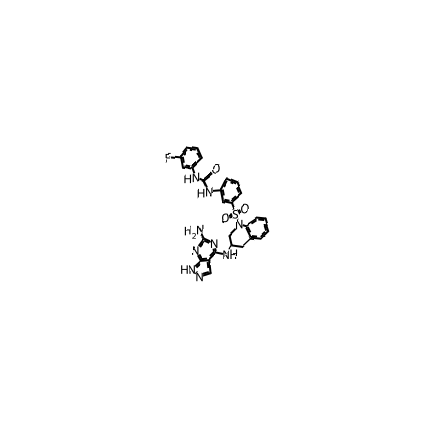 Nc1nc(NC2Cc3ccccc3N(S(=O)(=O)c3cccc(NC(=O)Nc4cccc(F)c4)c3)C2)c2cn[nH]c2n1